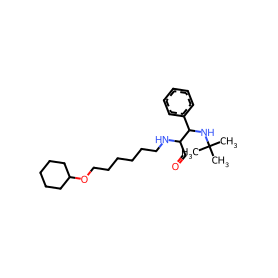 CC(C)(C)NC(c1ccccc1)C(C=O)NCCCCCCOC1CCCCC1